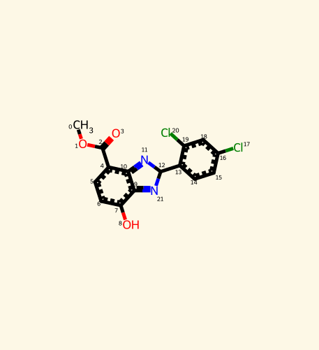 COC(=O)c1ccc(O)c2c1=NC(c1ccc(Cl)cc1Cl)N=2